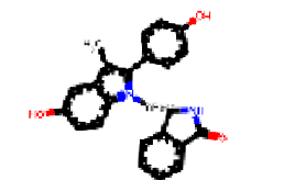 CCCCCn1c(-c2ccc(O)cc2)c(C)c2cc(O)ccc21.O=C1NCc2ccccc21